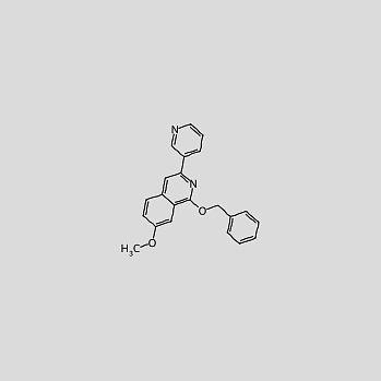 COc1ccc2cc(-c3cccnc3)nc(OCc3ccccc3)c2c1